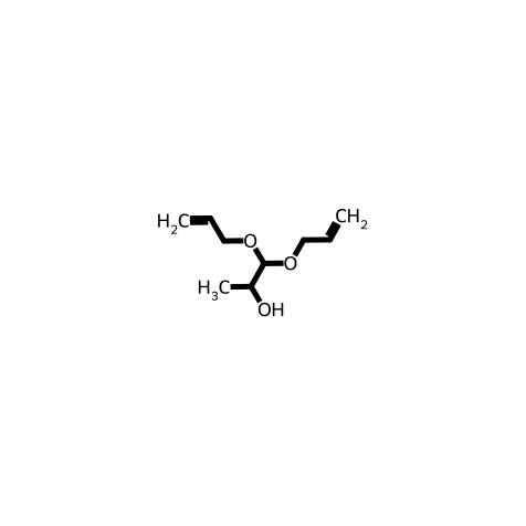 C=CCOC(OCC=C)C(C)O